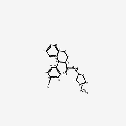 CN1CC[C@H](NC(=O)N2CCc3ccccc3[C@@H]2c2ccc(F)cc2)C1